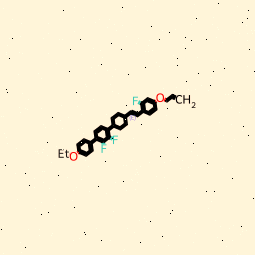 C=CCOc1ccc(/C=C/C2CCC(c3ccc(-c4ccc(OCC)cc4)c(F)c3F)CC2)c(F)c1